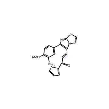 COc1ccc(-c2nc3sccn3c2/C=C/C(=O)c2cccs2)cc1[N+](=O)[O-]